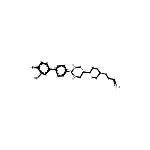 C=CCC[C@H]1CC[C@H]([C@H]2CO[C@H](c3ccc(-c4ccc(F)c(F)c4)cc3)OC2)CC1